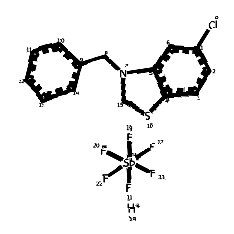 Clc1ccc2c(c1)N(Cc1ccccc1)CS2.[F][Sb-]([F])([F])([F])([F])[F].[H+]